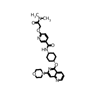 CN(C)C(=O)COc1ccc(C(=O)N[C@H]2CC[C@@H](Oc3nc(N4CCOCC4)cc4ncccc34)CC2)cn1